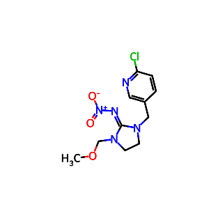 COCN1CCN(Cc2ccc(Cl)nc2)/C1=N/[N+](=O)[O-]